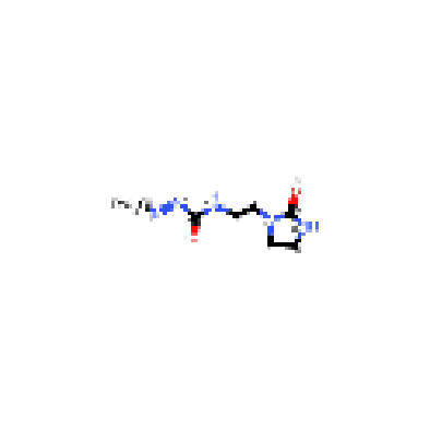 CCOC(=O)N=NC(=O)NCCN1CCNC1=O